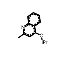 Cc1cc(OC(C)C)c2ccccc2n1